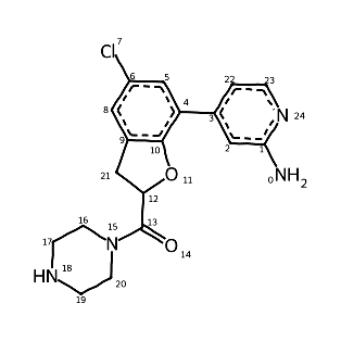 Nc1cc(-c2cc(Cl)cc3c2OC(C(=O)N2CCNCC2)C3)ccn1